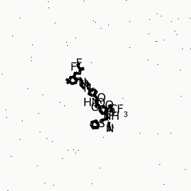 C=C(CCC1=C(CN2CCN(c3ccc(C(=O)NS(=O)(=O)c4ccc(N[C@H](CCN(C)C)CSc5ccccc5)c(S(=O)(=O)C(F)(F)F)c4)cc3)CC2)CCC(C)(C)C1)C(F)F